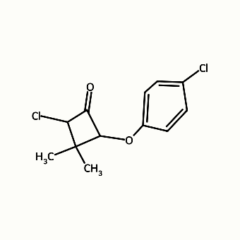 CC1(C)C(Cl)C(=O)C1Oc1ccc(Cl)cc1